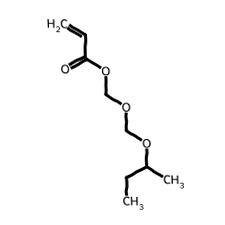 C=CC(=O)OCOCOC(C)CC